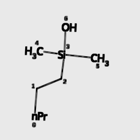 CCCCC[Si](C)(C)O